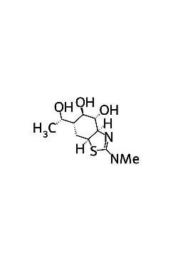 CNC1=N[C@@H]2[C@@H](O)[C@H](O)[C@@H]([C@H](C)O)C[C@@H]2S1